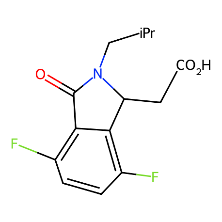 CC(C)CN1C(=O)c2c(F)ccc(F)c2C1CC(=O)O